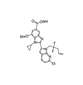 C=CCC(F)(F)Cn1c(-c2nc3cc(C(=O)OC)cc(OC)c3n2C2CC2)cc2ccc(CC)nc21